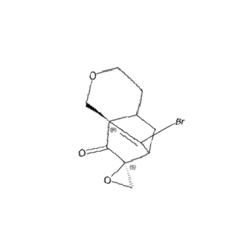 O=C1[C@@]23C=C(Br)C(CC2CCOC3)[C@]12CO2